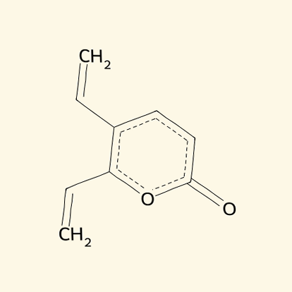 C=Cc1ccc(=O)oc1C=C